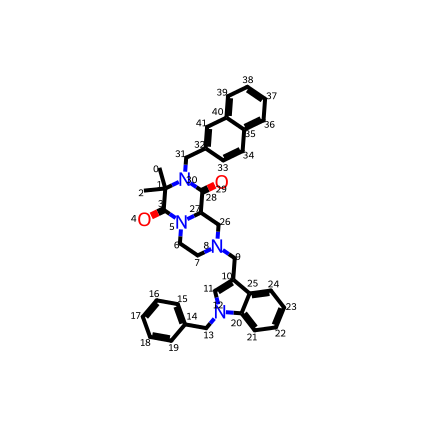 CC1(C)C(=O)N2CCN(Cc3cn(Cc4ccccc4)c4ccccc34)CC2C(=O)N1Cc1ccc2ccccc2c1